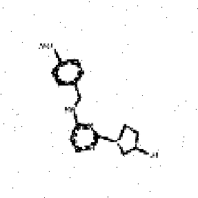 COc1ccc(CNc2ccnc(N3CCC(O)C3)n2)cc1